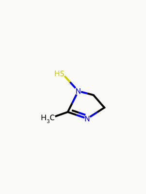 CC1=NCCN1S